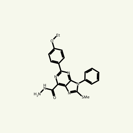 CCOc1ccc(-c2nc(C(=O)NN)c3nc(SC)n(-c4ccccc4)c3n2)cc1